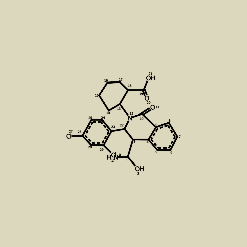 NC(O)C1c2ccccc2C(=O)N(C2CCCCC2C(=O)O)C1c1ccc(Cl)cc1Cl